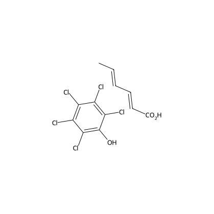 CC=CC=CC(=O)O.Oc1c(Cl)c(Cl)c(Cl)c(Cl)c1Cl